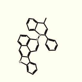 CC1C=C(c2ccccc2)N(N2C=Cc3c4c2cccc4cc2oc4ccccc4c32)c2ccccc21